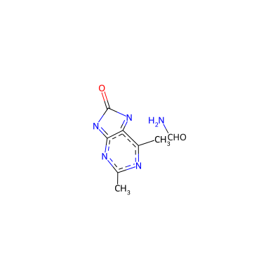 Cc1nc(C)c2c(n1)=NC(=O)N=2.NC=O